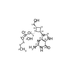 CCCOP(=O)(O)OC[C@@H]1[C@@H](CO)C[C@H]1N1CNc2c1nc(N)[nH]c2=O